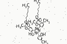 CCCCCCCCOC(=O)C(C)Oc1ccc(-c2nc(-c3ccc(C)cc3O)nc(-c3ccc(C)cc3OC(C)C(=O)OCCCCCCCC)n2)c(O)c1